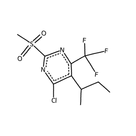 CCC(C)c1c(Cl)nc(S(C)(=O)=O)nc1C(F)(F)F